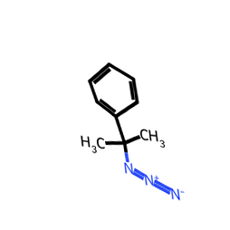 CC(C)(N=[N+]=[N-])c1ccccc1